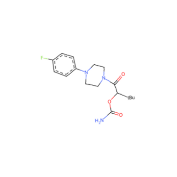 CC(C)(C)C(OC(N)=O)C(=O)N1CCN(c2ccc(F)cc2)CC1